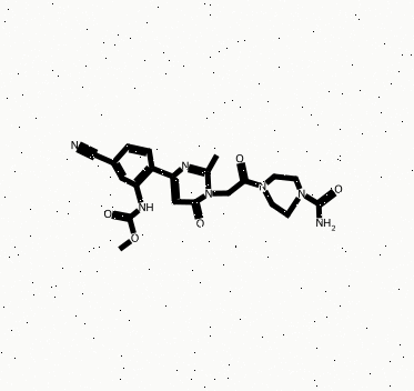 COC(=O)Nc1cc(C#N)ccc1-c1cc(=O)n(CC(=O)N2CCN(C(N)=O)CC2)c(C)n1